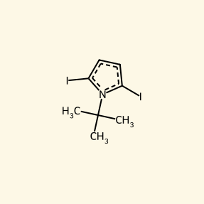 CC(C)(C)n1c(I)ccc1I